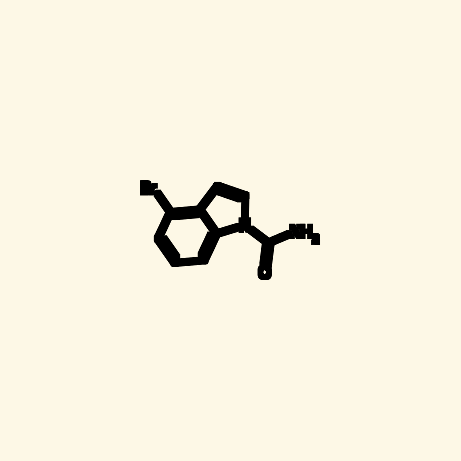 NC(=O)n1ccc2c(Br)cccc21